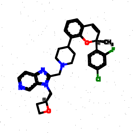 C[C@]1(c2ccc(Cl)cc2F)C=Cc2cccc(C3CCN(Cc4nc5ccncc5n4C[C@@H]4CCO4)CC3)c2O1